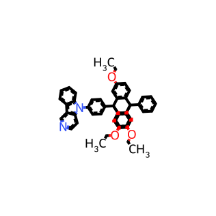 CCOc1ccc2c(c1)C1(c3ccccc3)c3ccc(OCC)cc3C2(c2ccc(-n3c4ccccc4c4cnccc43)cc2)c2cc(OCC)ccc21